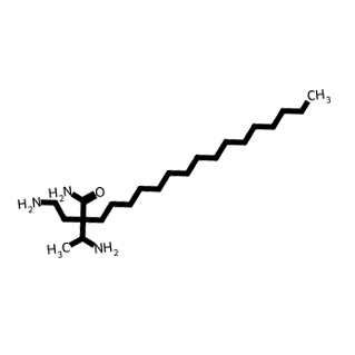 CCCCCCCCCCCCCCCCC(CCN)(C(N)=O)C(C)N